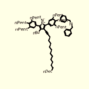 CCCCCCCCCCCCCCCCCCCCCC#CC1=C(c2cc(CCCCC)c(CCCCC)c(CCCCC)c2)[N+](=[N-])C(c2cc(CCCCC)c(CCCCC)c(CCCCC)c2)=C1CCCC.c1ccc([CH2][Ni][CH2]c2ccccc2)cc1